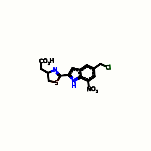 O=C(O)CC1CSC(c2cc3cc(CCl)cc([N+](=O)[O-])c3[nH]2)=N1